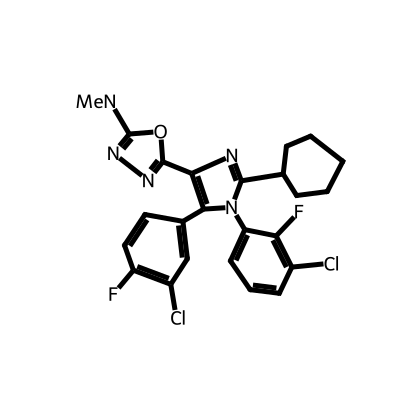 CNc1nnc(-c2nc(C3CCCCC3)n(-c3cccc(Cl)c3F)c2-c2ccc(F)c(Cl)c2)o1